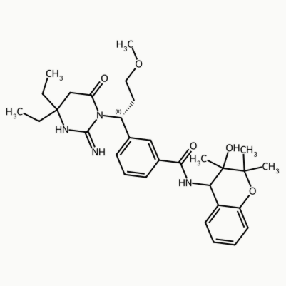 CCC1(CC)CC(=O)N([C@H](CCOC)c2cccc(C(=O)NC3c4ccccc4OC(C)(C)C3(C)O)c2)C(=N)N1